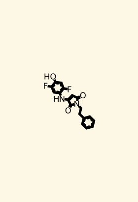 O=C1C=C(Nc2cc(F)c(O)cc2F)C(=O)N1CCc1ccccc1